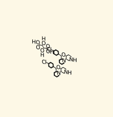 Clc1ccc([C@H](OC2CCNCC2)c2ccccn2)cc1.Clc1ccc([C@H](OC2CCNCC2)c2ccccn2)cc1.O=C(O)C(O)C(O)C(=O)O